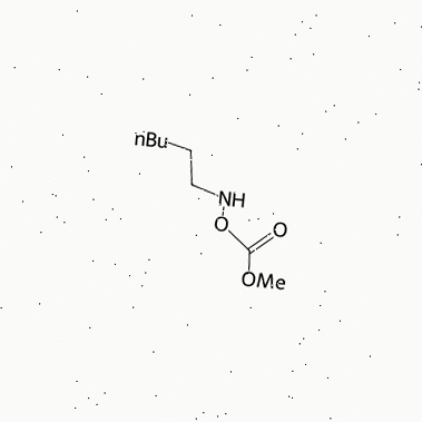 CCCCCCNOC(=O)OC